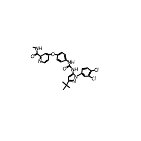 CNC(=O)c1cc(Oc2ccc(NC(=O)Nc3cc(C(C)(C)C)nn3-c3ccc(Cl)c(Cl)c3)cc2)ccn1